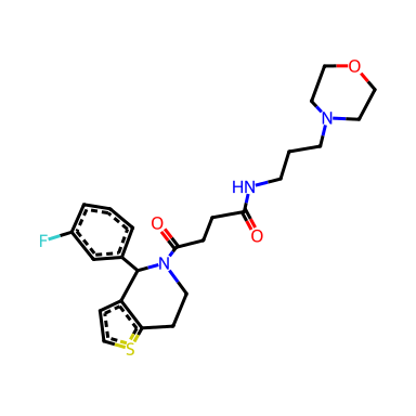 O=C(CCC(=O)N1CCc2sccc2C1c1cccc(F)c1)NCCCN1CCOCC1